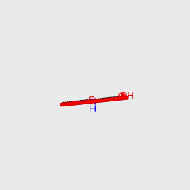 CCCCCCCCCCCCCCCCCCCCCCCCCCCC(=O)NCCCCCCCCCCCCCCCCCCCCCCCCCCC(CCCC)C(=O)O